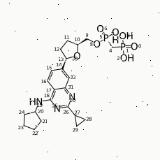 O=P(O)(O)CP(=O)(O)OC[C@@H]1CC[C@H](c2ccc3c(NC4CCCC4)nc(C4CC4)nc3c2)O1